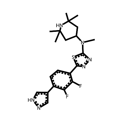 CN(c1nnc(-c2ccc(-c3cn[nH]c3)c(F)c2F)s1)C1CC(C)(C)NC(C)(C)C1